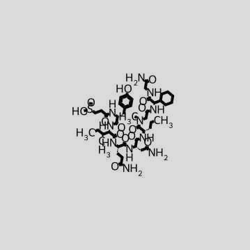 CCC[C@H](NC(=O)[C@H](CC(N)=O)NC(=O)[C@H](CCC(N)=O)NC(=O)[C@@H](NC(=O)[C@@H](Cc1ccc(O)cc1)NC(=O)CCS(=O)O)[C@@H](C)CC)C(=O)N(C)CC(=O)N[C@H](C(=O)NCC(N)=O)C1CCCCC1